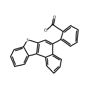 O=C(Cl)c1ccccc1-c1cc2sc3ccccc3c2c2ccccc12